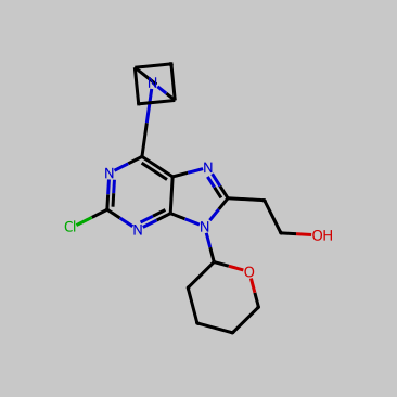 OCCc1nc2c(N3CC4CC3C4)nc(Cl)nc2n1C1CCCCO1